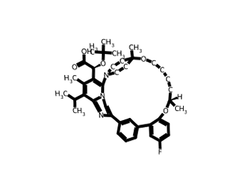 Cc1c([C@H](OC(C)(C)C)C(=O)O)c2n3cc(nc3c1C(C)C)-c1cccc(c1)-c1cc(F)ccc1O[C@@H](C)CCCCOC1(C)CCN2CC1